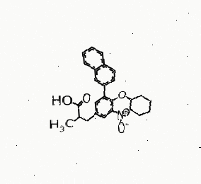 CC(Cc1cc(-c2ccc3ccccc3c2)c(OC2CCCCC2)c([N+](=O)[O-])c1)C(=O)O